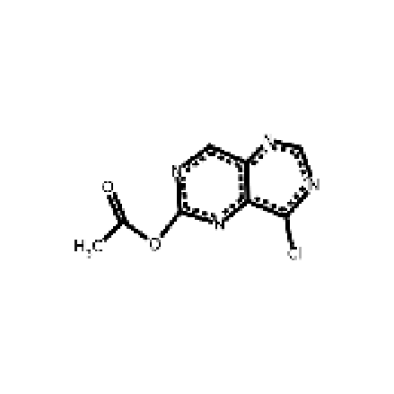 CC(=O)Oc1ncc2ncnc(Cl)c2n1